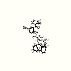 C[C@@H](C(=O)Nc1ccc(Br)cc1C(=O)c1ccccc1F)N(CC1c2ccccc2-c2ccccc21)C(=O)O